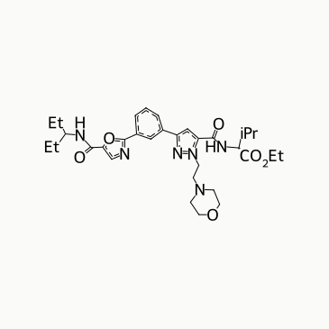 CCOC(=O)[C@@H](NC(=O)c1cc(-c2cccc(-c3ncc(C(=O)NC(CC)CC)o3)c2)nn1CCN1CCOCC1)C(C)C